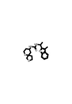 Cc1c(C(C)NC(=O)NC2CCOC3(CCOC3)C2)oc2ccccc12